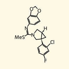 CS/C(=N/c1ccc2c(c1)OCO2)N1C[C@@H]2C[C@]2(c2ccc(F)cc2Cl)C1